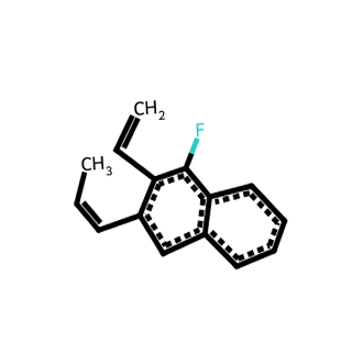 C=Cc1c(/C=C\C)cc2ccccc2c1F